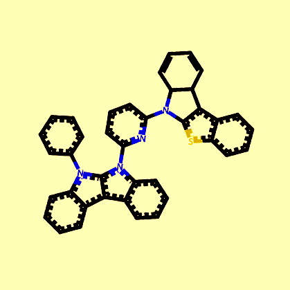 C1=CC2c3c(sc4ccccc34)N(c3cccc(-n4c5ccccc5c5c6ccccc6n(-c6ccccc6)c54)n3)C2C=C1